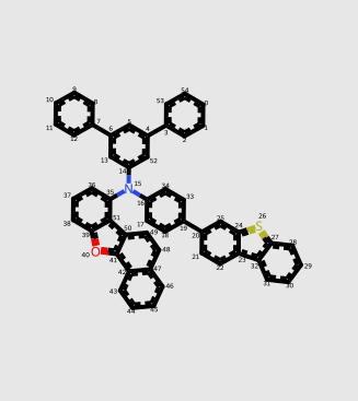 c1ccc(-c2cc(-c3ccccc3)cc(N(c3ccc(-c4ccc5c(c4)sc4ccccc45)cc3)c3cccc4oc5c6ccccc6ccc5c34)c2)cc1